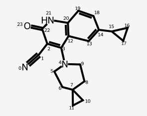 N#Cc1c(N2CCC3(CC2)CC3)c2cc(C3CC3)ccc2[nH]c1=O